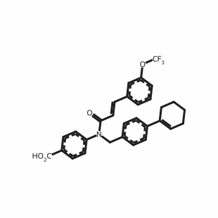 O=C(O)c1ccc(N(Cc2ccc(C3=CCCCC3)cc2)C(=O)/C=C/c2cccc(OC(F)(F)F)c2)cc1